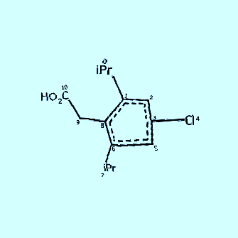 CC(C)c1cc(Cl)cc(C(C)C)c1CC(=O)O